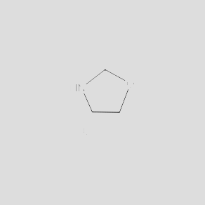 C1COCN1.[C]